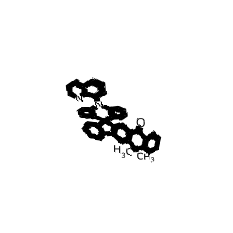 CC1(C)c2ccccc2C(=O)c2cc3c(cc21)-c1ccccc1C31c2ccccc2N(c2cccc3cccnc23)c2ccccc21